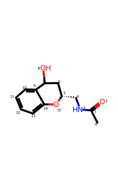 CC(=O)NC[C@H]1CC(O)c2ccccc2O1